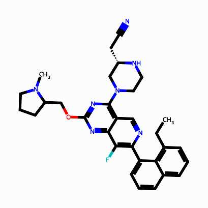 CCc1cccc2cccc(-c3ncc4c(N5CCN[C@@H](CC#N)C5)nc(OCC5CCCN5C)nc4c3F)c12